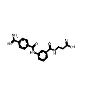 N=C(N)c1ccc(C(=O)Nc2cccc(C(=O)NCCC(=O)O)c2)cc1